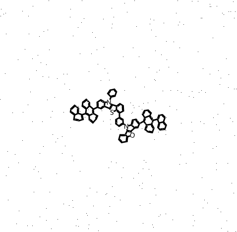 c1ccc(-n2c3ccc(-c4c5ccccc5c(-c5cccc6ccccc56)c5ccccc45)cc3c3sc4c(-c5cccc(-n6c7ccc(-c8c9ccccc9c(-c9cccc%10ccccc9%10)c9ccccc89)cc7c7oc8ccccc8c76)c5)cccc4c32)cc1